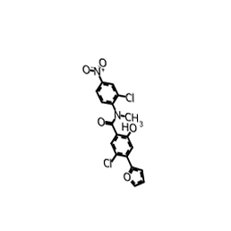 CN(C(=O)c1cc(Cl)c(-c2ccco2)cc1O)c1ccc([N+](=O)[O-])cc1Cl